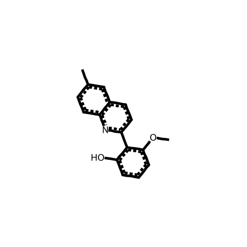 COc1cccc(O)c1-c1ccc2cc(C)ccc2n1